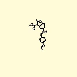 CCOc1ccc(SNc2ccc3oc(C)c(C(=O)OC)c3c2)cc1